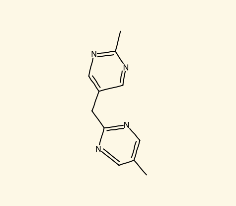 Cc1cnc(Cc2cnc(C)nc2)nc1